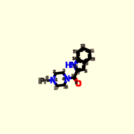 CC(C)N1CCN(C(=O)c2cc3ccccc3[nH]2)CC1